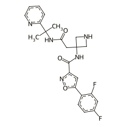 CC(C)(NC(=O)CC1(NC(=O)c2cc(-c3ccc(F)cc3F)on2)CNC1)c1ccccn1